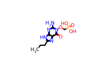 CCCc1nc2c(=O)n(OCP(=O)(O)O)c(N)nc2[nH]1